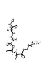 CC(CCN(C)C(=O)CCCCC(=O)O)OC(=O)NCCNC(=O)CCl